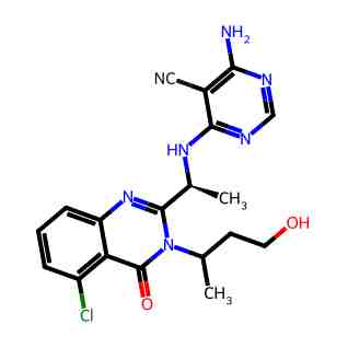 CC(CCO)n1c([C@H](C)Nc2ncnc(N)c2C#N)nc2cccc(Cl)c2c1=O